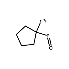 CCCC1(P=O)CCCC1